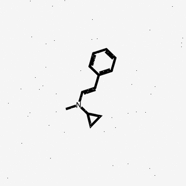 CN(C=Cc1ccccc1)C1CC1